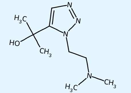 CN(C)CCn1nncc1C(C)(C)O